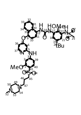 COc1cc(Nc2cc(Oc3ccc(NC(=O)Nc4cc(C(C)(C)C)cc(NS(C)(=O)=O)c4OC)c4ccccc34)ccn2)ccc1S(=O)(=O)CCCN1CCN(C)CC1